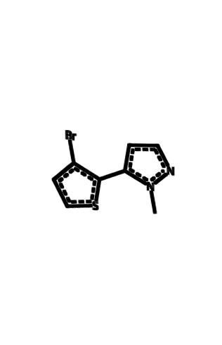 Cn1nccc1-c1sccc1Br